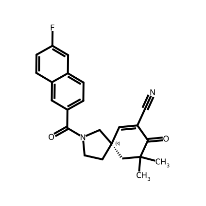 CC1(C)C[C@]2(C=C(C#N)C1=O)CCN(C(=O)c1ccc3cc(F)ccc3c1)C2